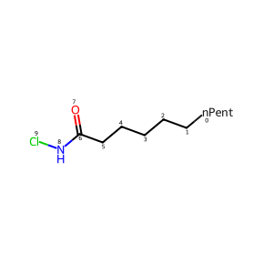 CCCCCCCCCCC(=O)NCl